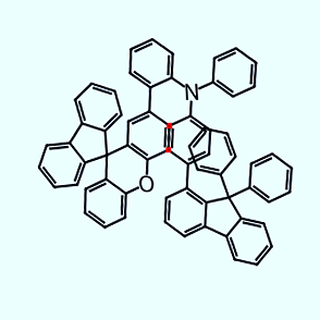 c1ccc(N(c2ccc(-c3cccc4c3C(c3ccccc3)(c3ccccc3)c3ccccc3-4)cc2)c2ccccc2-c2ccc3c(c2)C2(c4ccccc4O3)c3ccccc3-c3ccccc32)cc1